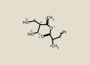 C=C(OC(=O)C(C)CC(C)C)C(CO)CO